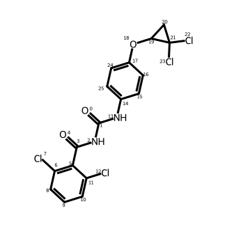 O=C(NC(=O)c1c(Cl)cccc1Cl)Nc1ccc(OC2CC2(Cl)Cl)cc1